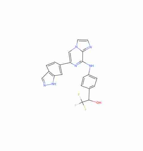 OC(c1ccc(Nc2nc(-c3ccc4cn[nH]c4c3)cn3ccnc23)cc1)C(F)(F)F